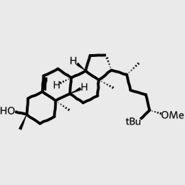 CO[C@@H](CC[C@@H](C)[C@H]1CC[C@H]2[C@@H]3CC=C4C[C@@](C)(O)CC[C@]4(C)[C@H]3CC[C@]12C)C(C)(C)C